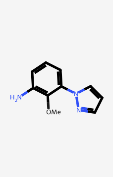 COc1c(N)cccc1-n1cccn1